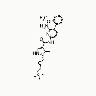 CC1C(C(=O)Nc2ccc(-c3ccccc3OC(F)(F)F)c(N)n2)=CNN1COCC[Si](C)(C)C